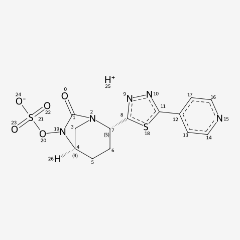 O=C1N2C[C@@H](CC[C@H]2c2nnc(-c3ccncc3)s2)N1OS(=O)(=O)[O-].[H+]